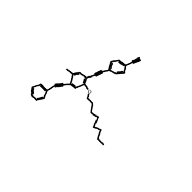 C#Cc1ccc(C#Cc2cc(C)c(C#Cc3ccccc3)cc2OCCCCCCCC)cc1